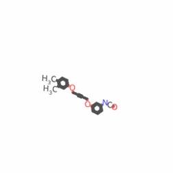 Cc1ccc(OCC#CCOc2cccc(N=C=O)c2)cc1C